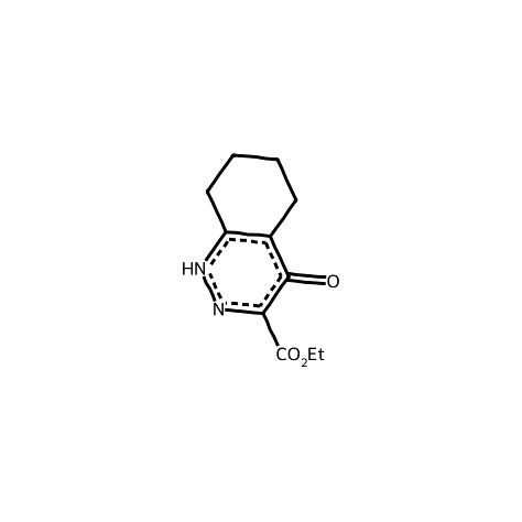 CCOC(=O)c1n[nH]c2c(c1=O)CCCC2